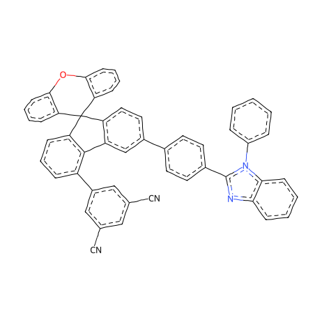 N#Cc1cc(C#N)cc(-c2cccc3c2-c2cc(-c4ccc(-c5nc6ccccc6n5-c5ccccc5)cc4)ccc2C32c3ccccc3Oc3ccccc32)c1